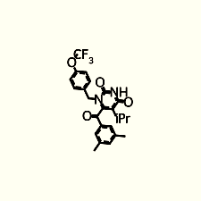 Cc1cc(C)cc(C(=O)c2c(C(C)C)c(=O)[nH]c(=O)n2Cc2ccc(OC(F)(F)F)cc2)c1